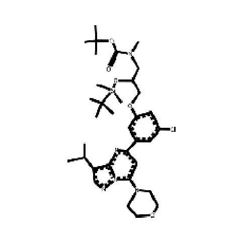 CC(C)c1cnn2c(N3CCOCC3)cc(-c3cc(Cl)cc(OCC(CN(C)C(=O)OC(C)(C)C)O[Si](C)(C)C(C)(C)C)c3)nc12